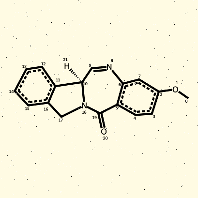 COc1ccc2c(c1)N=C[C@@H]1c3ccccc3CN1C2=O